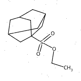 CCOS(=O)(=O)C12CC3CC(CC(C3)C1)C2